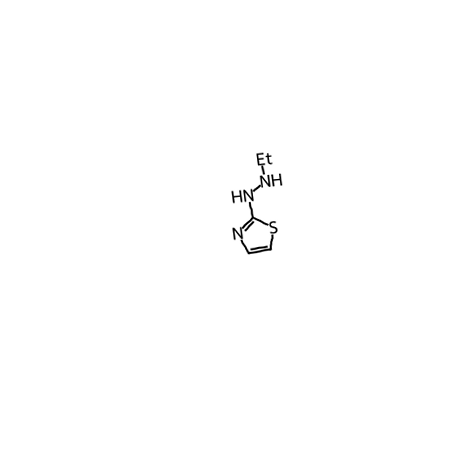 CCNNc1nccs1